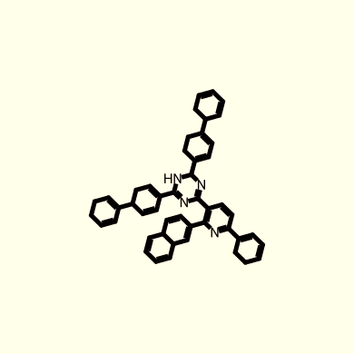 C1=CCCC(c2ccc(C3=NC(C4=CC=C(C5C=CC=CC5)CC4)NC(C4=CCC(C5=CCCC=C5)C=C4)=N3)c(C3=CC4C=CC=CC4C=C3)n2)=C1